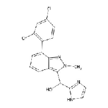 Cn1nc2c(-c3ccc(Cl)cc3Cl)cccc2c1C(O)c1ncc[nH]1